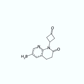 Bc1cnc2c(c1)CCC(=O)N2C1CC(=O)C1